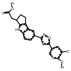 CC(C)OC(=O)CC1CCc2c1[nH]c1ccc(-c3noc(-c4cnc(OC(C)C)c(Cl)c4)n3)cc21